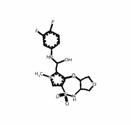 Cn1cc2c(c1C(O)Nc1ccc(F)c(F)c1)OC1COCC1NS2(=O)=O